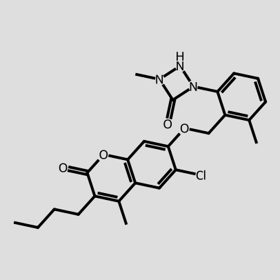 CCCCc1c(C)c2cc(Cl)c(OCc3c(C)cccc3-n3[nH]n(C)c3=O)cc2oc1=O